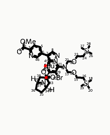 COC(=O)c1ccc(-c2cnn3c(N(COCC[Si](C)(C)C)COCC[Si](C)(C)C)c(Br)c([C@H]4C[C@H]5CC[C@@H](C4)N5C(=O)OC(C)(C)C)nc23)cn1